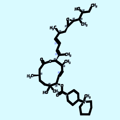 CC[C@H](O)[C@@H](C)[C@H]1O[C@@H]1C[C@H](C)/C=C/C=C(\C)[C@H]1OC(=O)C[C@H](C)CC[C@@](C)(O)[C@@H](OC(=O)N2CCC([N+]3(C)CCCCC3)CC2)/C=C/[C@@H]1C